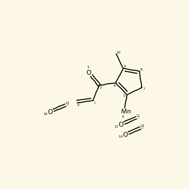 C=CC(=O)C1=[C]([Mn])CC=C1C.[C]=O.[C]=O.[C]=O